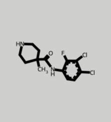 CC1(C(=O)Nc2ccc(Cl)c(Cl)c2F)CCNCC1